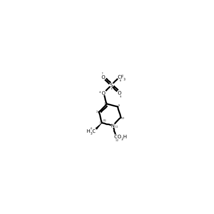 C[C@H]1C=C(OS(=O)(=O)C(F)(F)F)CCN1C(=O)O